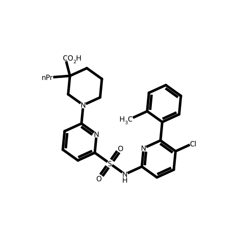 CCCC1(C(=O)O)CCCN(c2cccc(S(=O)(=O)Nc3ccc(Cl)c(-c4ccccc4C)n3)n2)C1